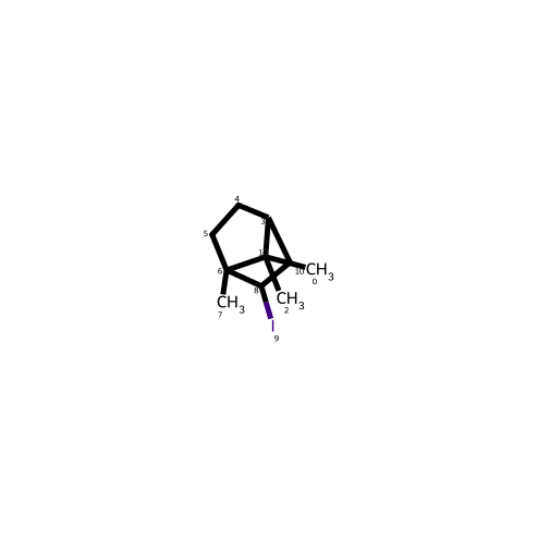 CC1(C)C2CCC1(C)C(I)C2